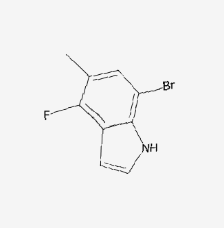 Cc1cc(Br)c2[nH]ccc2c1F